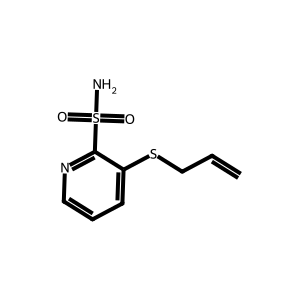 C=CCSc1cccnc1S(N)(=O)=O